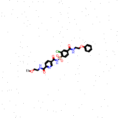 CCOCCNC(=O)c1ccc(C(=O)NS(=O)(=O)c2ccc(C(=O)NCCOc3ccccc3)cc2Cl)cn1